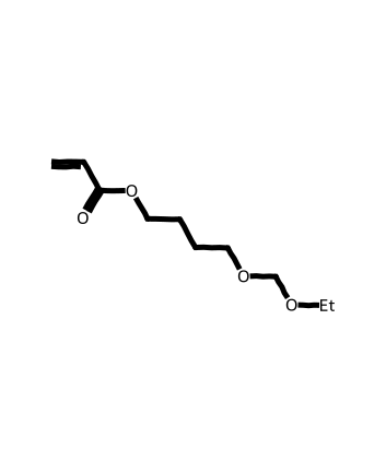 C=CC(=O)OCCCCOCOCC